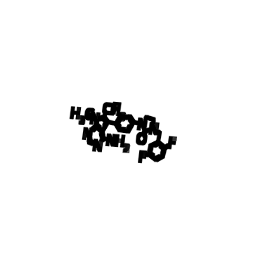 Cc1c(-c2ccc(N3CCN(Cc4cc(F)ccc4F)C3=O)cc2F)c2c(N)ncnc2n1C